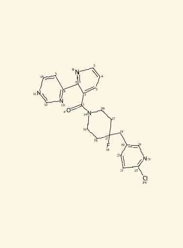 O=C(c1cccnc1-c1ccncn1)N1CCC(F)(Cc2ccc(Cl)nc2)CC1